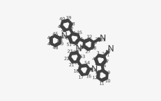 N#Cc1ccc2c(c1)c1ccccc1n2-c1cccc(-c2cccc(-n3c4ccc(C#N)cc4c4cc5c6ccccc6n(-c6ccccc6)c5cc43)c2)c1